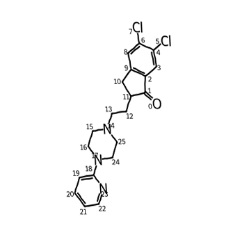 O=C1c2cc(Cl)c(Cl)cc2CC1CCN1CCN(c2ccccn2)CC1